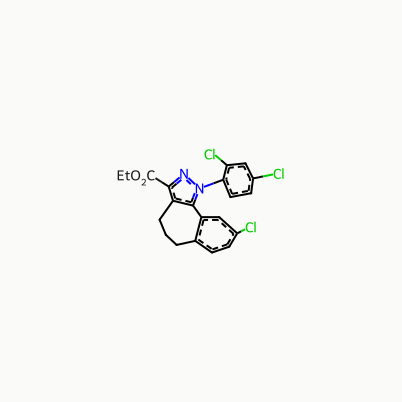 CCOC(=O)c1nn(-c2ccc(Cl)cc2Cl)c2c1CCCc1ccc(Cl)cc1-2